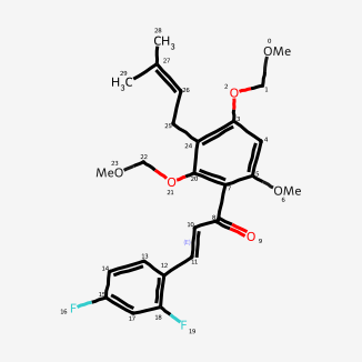 COCOc1cc(OC)c(C(=O)/C=C/c2ccc(F)cc2F)c(OCOC)c1CC=C(C)C